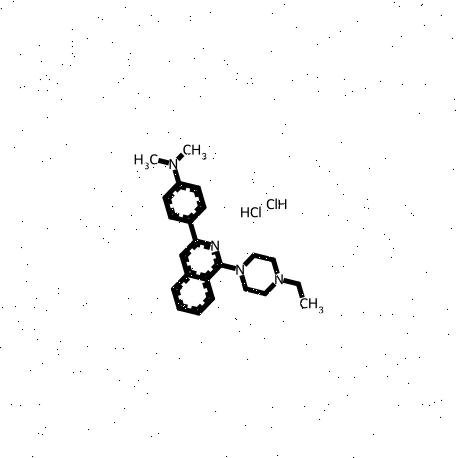 CCN1CCN(c2nc(-c3ccc(N(C)C)cc3)cc3ccccc23)CC1.Cl.Cl